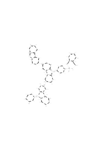 CC1(c2ccc(-n3c4ccc(-c5ccc6sc7ccccc7c6c5)cc4c4cc(-c5ccc6c(c5)c5ccccc5n6-c5ccccc5)ccc43)cc2)C=c2ccccc2=CC1